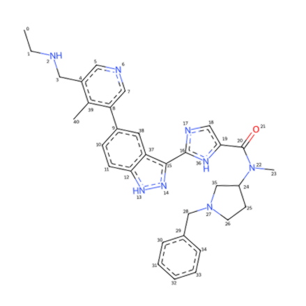 CCNCc1cncc(-c2ccc3[nH]nc(-c4ncc(C(=O)N(C)C5CCN(Cc6ccccc6)C5)[nH]4)c3c2)c1C